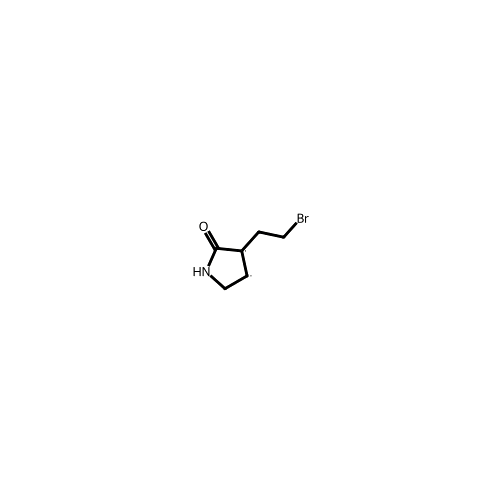 O=C1NC[CH][C]1CCBr